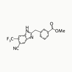 COC(=O)c1cccc(Cc2nc3cc(C#N)c(C(F)(F)F)cc3[nH]2)c1